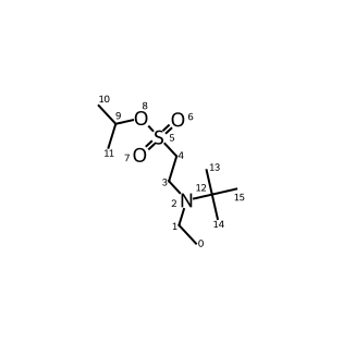 CCN(CCS(=O)(=O)OC(C)C)C(C)(C)C